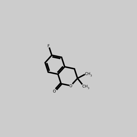 CC1(C)Cc2cc(F)ccc2C(=O)O1